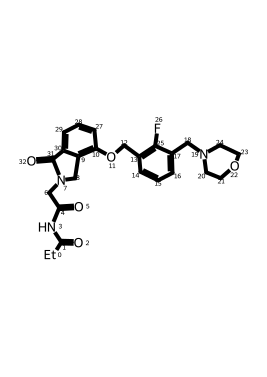 CCC(=O)NC(=O)CN1Cc2c(OCc3cccc(CN4CCOCC4)c3F)cccc2C1=O